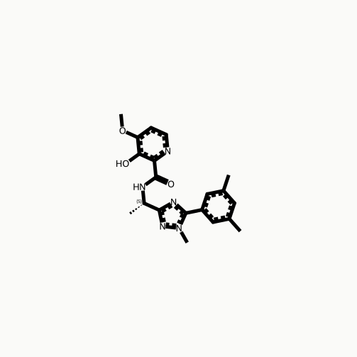 COc1ccnc(C(=O)N[C@@H](C)c2nc(-c3cc(C)cc(C)c3)n(C)n2)c1O